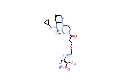 C[C@@H](COCCC(=O)N1CCN2c3ncc(F)cc3N(CC3CC3)C(=S)[C@@H]2C1)Nc1cn[nH]c(=O)c1C(F)(F)F